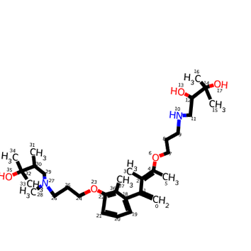 C=C(/C(C)=C(\C)OCCCNCC(O)C(C)(C)O)c1cccc(OCCCN(C)CC(C)C(C)(C)O)c1C